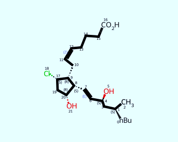 CCCC[C@H](C)C[C@H](O)/C=C/[C@H]1[C@@H](C/C=C\CCCC(=O)O)[C@@H](Cl)C[C@H]1O